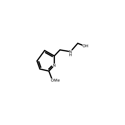 COc1cccc(CNCO)n1